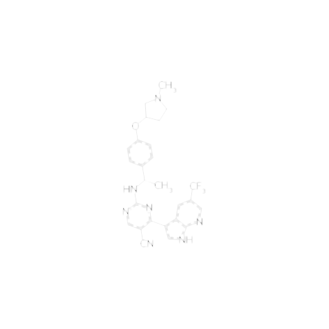 C[C@H](Nc1ncc(C#N)c(-c2c[nH]c3ncc(C(F)(F)F)cc23)n1)c1ccc(OC2CCN(C)C2)cc1